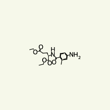 CCOC(=O)CC[C@@H](NC(=O)c1ccc(N)cc1C)C(=O)OCC